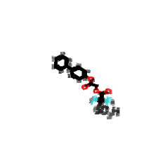 O=C(COC(=O)C(F)(F)S(=O)(=O)O)Oc1ccc(-c2ccccc2)cc1